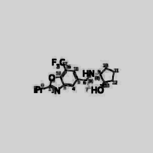 CC(C)c1nc2cc([C@@H](C)N[C@@H]3CCC[C@H]3O)cc(C(F)(F)F)c2o1